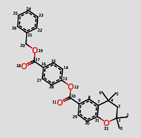 CC1(C)CC(C)(C)c2cc(C(=O)Oc3ccc(C(=O)OCc4ccccc4)cc3)ccc2O1